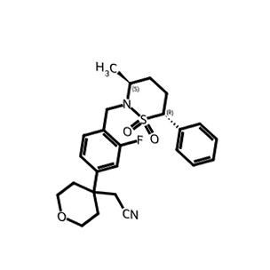 C[C@H]1CC[C@H](c2ccccc2)S(=O)(=O)N1Cc1ccc(C2(CC#N)CCOCC2)cc1F